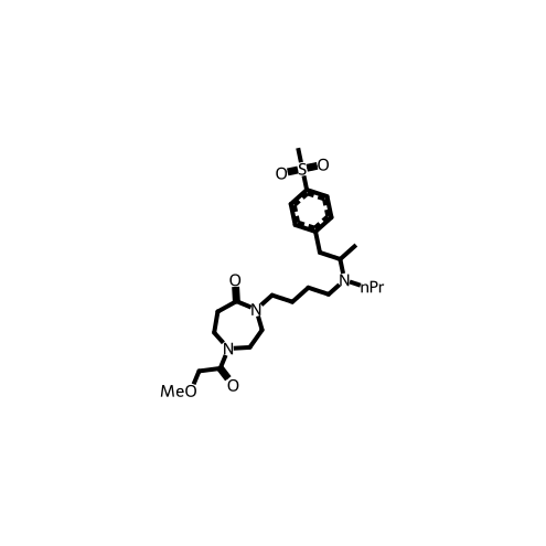 CCCN(CCCCN1CCN(C(=O)COC)CCC1=O)C(C)Cc1ccc(S(C)(=O)=O)cc1